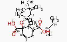 CC1C(C(=O)O)=CC=CC1(O[Si](C)(C)CC(C)(C)C)C(=O)O.[Li][CH2]CC